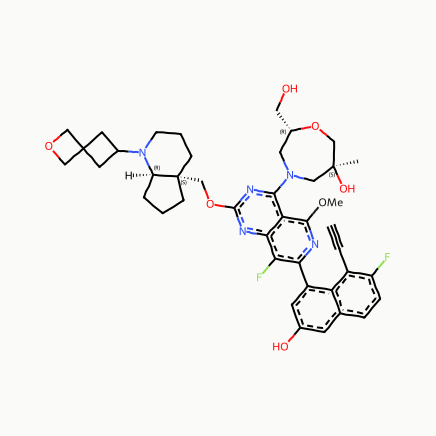 C#Cc1c(F)ccc2cc(O)cc(-c3nc(OC)c4c(N5C[C@H](CO)OC[C@@](C)(O)C5)nc(OC[C@]56CCC[C@H]5N(C5CC7(COC7)C5)CCC6)nc4c3F)c12